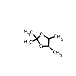 CC1OC(C)(C)O[C@@H]1C